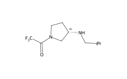 CC(C)CN[C@H]1CCN(C(=O)C(F)(F)F)C1